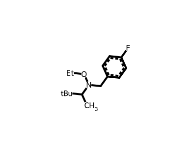 CCON(Cc1ccc(F)cc1)C(C)C(C)(C)C